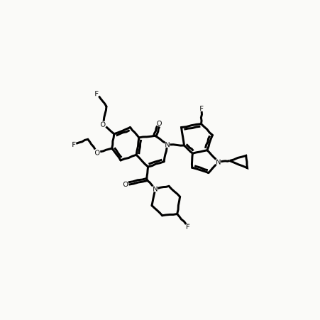 O=C(c1cn(-c2cc(F)cc3c2ccn3C2CC2)c(=O)c2cc(OCF)c(OCF)cc12)N1CCC(F)CC1